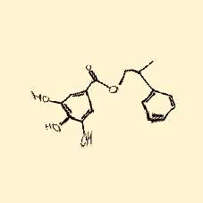 CC(COC(=O)c1cc(O)c(O)c(O)c1)c1ccccc1